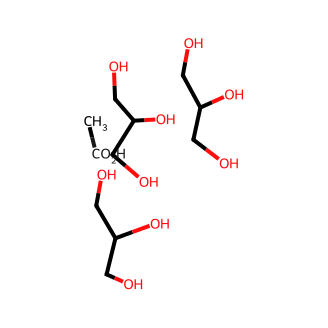 CC(=O)O.OCC(O)CO.OCC(O)CO.OCC(O)CO